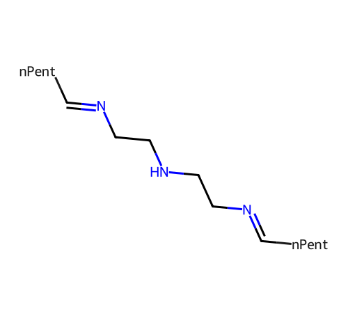 CCCCCC=NCCNCCN=CCCCCC